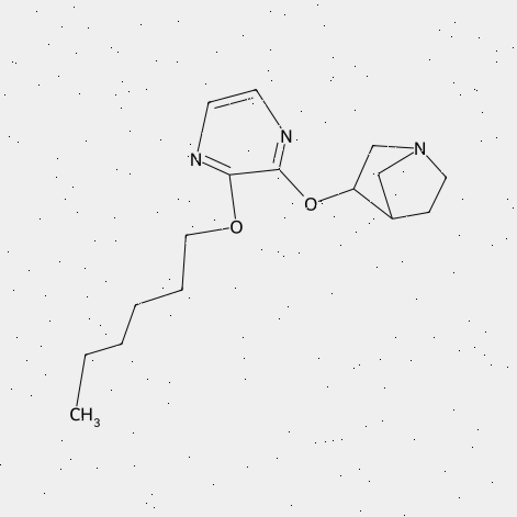 CCCCCCOc1nccnc1OC1CN2CCC1C2